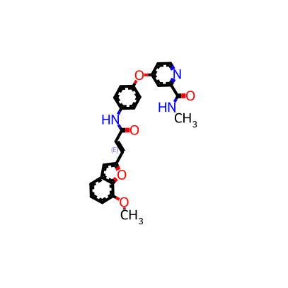 CNC(=O)c1cc(Oc2ccc(NC(=O)/C=C/c3cc4cccc(OC)c4o3)cc2)ccn1